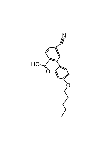 CCCCCOc1ccc(-c2cc(C#N)ccc2C(=O)O)cc1